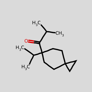 CC(C)C(=O)C1(C(C)C)CCC2(CC2)CC1